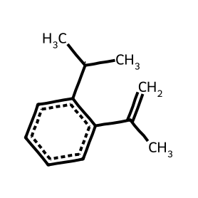 C=C(C)c1ccccc1[C](C)C